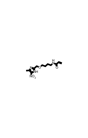 C=CC(=O)NCCCCOCc1nc(C)c([N+](=O)[O-])[nH]1